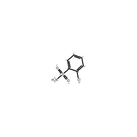 NS(=O)(=O)c1cc[c]cc1Cl